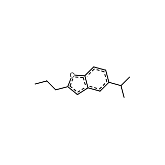 CCCc1cc2cc(C(C)C)ccc2o1